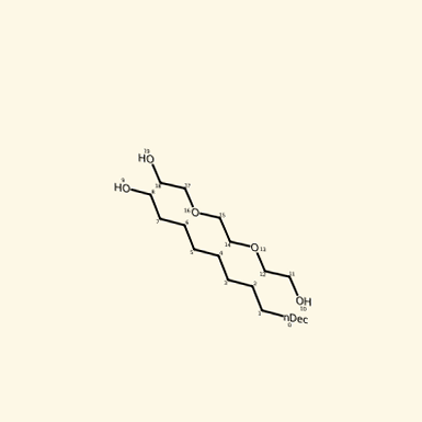 CCCCCCCCCCCCCCCCCCO.OCCOCCOCCO